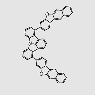 c1ccc2cc3c(cc2c1)oc1cc(-c2cccc4c2c2cccc5c6c(-c7ccc8c(c7)oc7cc9ccccc9cc78)cccc6n4c25)ccc13